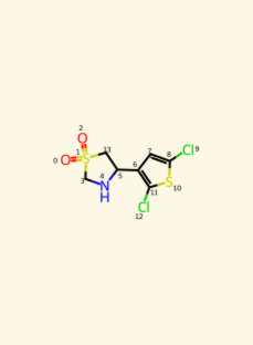 O=S1(=O)CNC(c2[c]c(Cl)sc2Cl)C1